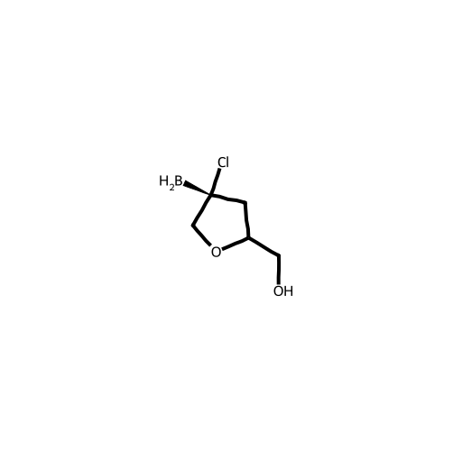 B[C@]1(Cl)COC(CO)C1